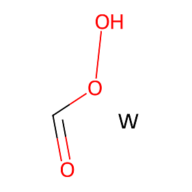 O=COO.[W]